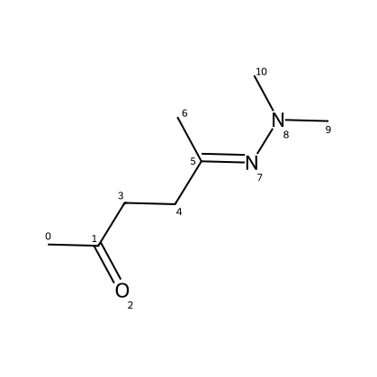 CC(=O)CC/C(C)=N/N(C)C